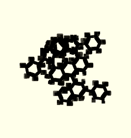 c1ccc(-c2cc(-c3c4cccc(-n5c(-c6ccccc6)nc6ccccc65)c4cc4c(-n5c(-c6ccccc6)nc6ccccc65)cccc34)c3ccccc3c2)cc1